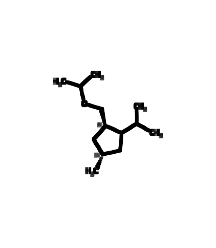 CC(C)OC[C@@H]1C[C@@H](C)CC1C(C)C